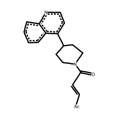 CC(=O)C=CC(=O)N1CCC(c2ccnc3ccccc23)CC1